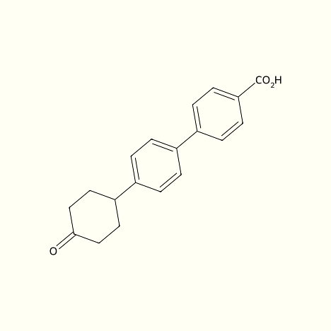 O=C1CCC(c2ccc(-c3ccc(C(=O)O)cc3)cc2)CC1